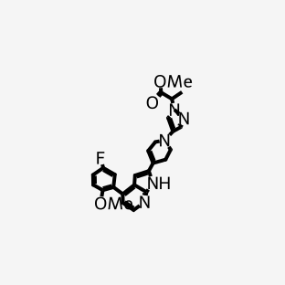 COC(=O)C(C)n1cc(N2CC=C(c3cc4c(-c5cc(F)ccc5OC)ccnc4[nH]3)CC2)cn1